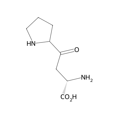 N[C@@H](CC(=O)C1CCCN1)C(=O)O